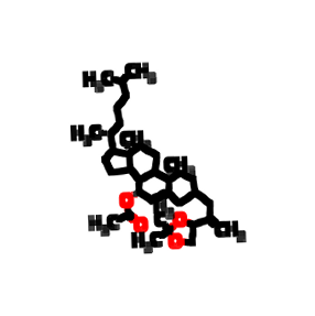 C=C(CC1CC[C@@]2(C)C(=C[C@H](OC(C)=O)C3C4CCC([C@H](C)CCCC(C)C)[C@@]4(C)CCC32)C1)C1COC(C)(C)O1